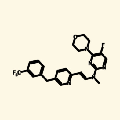 CN(/C=C/c1ccc(Cc2cccc(C(F)(F)F)c2)cn1)c1ncc(F)c(N2CCOCC2)n1